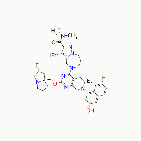 CCc1c(F)ccc2cc(O)cc(N3CCc4c(nc(OC[C@@]56CCCN5C[C@H](F)C6)nc4N4CCCn5nc(C(=O)N(C)C)c(C(C)C)c5C4)C3)c12